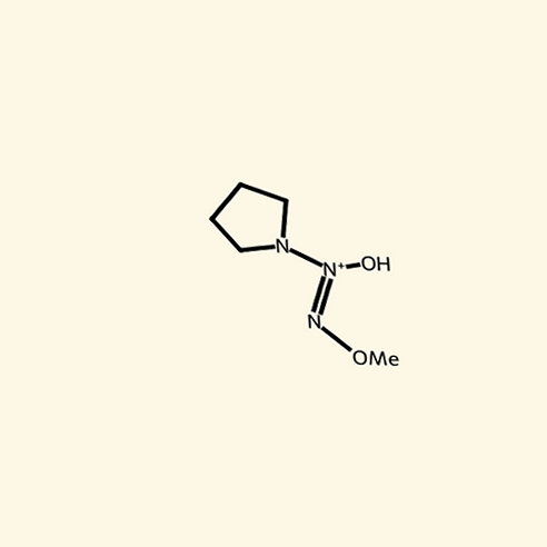 CO/N=[N+](\O)N1CCCC1